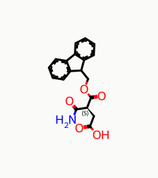 NC(=O)[C@H](CC(=O)O)C(=O)OCC1c2ccccc2-c2ccccc21